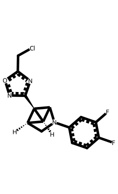 Fc1ccc(N2C[C@@H]3[C@@H]4C2[C@@]34c2noc(CCl)n2)cc1F